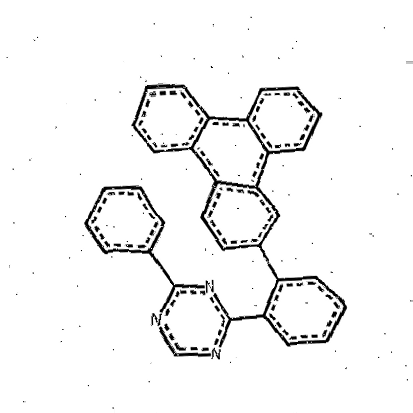 c1ccc(-c2ncnc(-c3ccccc3-c3ccc4c5ccccc5c5ccccc5c4c3)n2)cc1